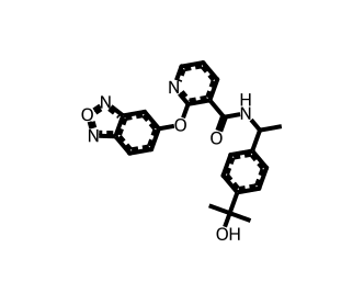 CC(NC(=O)c1cccnc1Oc1ccc2nonc2c1)c1ccc(C(C)(C)O)cc1